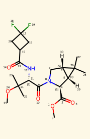 COC(=O)[C@@H]1[C@@H]2[C@H](CN1C(=O)[C@@H](NC(=O)C1CC(F)(F)C1)C(C)(C)OC)C2(C)C